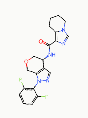 O=C(N[C@@H]1COCc2c1cnn2-c1c(F)cccc1F)c1ncn2c1CCCC2